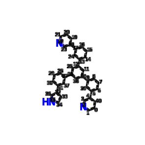 c1cncc(-c2cccc(-c3cc(-c4cccc(-c5cccnc5)c4)cc(-c4cccc(-c5cc[nH]c5)c4)c3)c2)c1